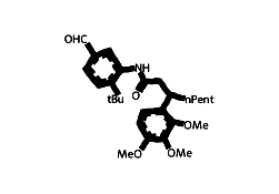 CCCCCC(CC(=O)Nc1cc(C=O)ccc1C(C)(C)C)c1ccc(OC)c(OC)c1OC